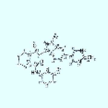 CC(=O)c1nn(CC(=O)N2CCCC[C@H]2C(=O)Nc2cccc(Br)n2)c2ccc(-c3cnc(C)nc3)cc12